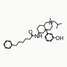 CC(C)C[N@+]1(C)CC[C@]2(c3cccc(O)c3)C[C@H](NC(=O)CCCCCc3ccccc3)CCC2C1